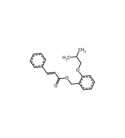 CC(C)COc1ccccc1COC(=O)C=Cc1ccccc1